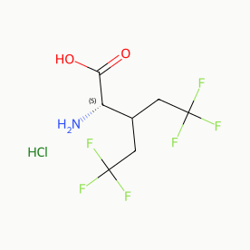 Cl.N[C@H](C(=O)O)C(CC(F)(F)F)CC(F)(F)F